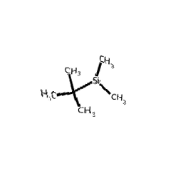 C[Si](C)C(C)(C)C